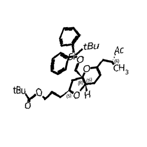 CC(=O)[C@H](C)CC1CC[C@@H]2O[C@@H](CCCOC(=O)C(C)(C)C)C[C@]2(CO[Si](c2ccccc2)(c2ccccc2)C(C)(C)C)O1